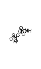 O=C(Nc1ccc(C(=O)C2CC=CC3=CNC=C4COCCN4C32)cc1)c1ccccc1-c1ccccc1